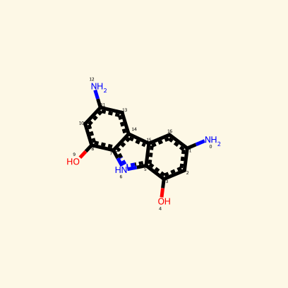 Nc1cc(O)c2[nH]c3c(O)cc(N)cc3c2c1